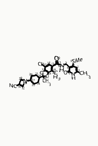 CSc1cc(C)[nH]c(=O)c1CNC(=O)c1cc(Cl)c2c(c1C)OC(C)(C1CCC(N3CC(C#N)C3)CC1)O2